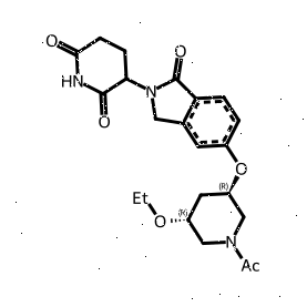 CCO[C@@H]1C[C@@H](Oc2ccc3c(c2)CN(C2CCC(=O)NC2=O)C3=O)CN(C(C)=O)C1